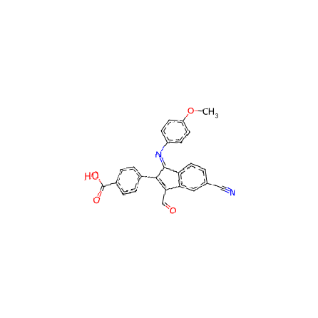 COc1ccc(/N=C2/C(c3ccc(C(=O)O)cc3)=C(C=O)c3cc(C#N)ccc32)cc1